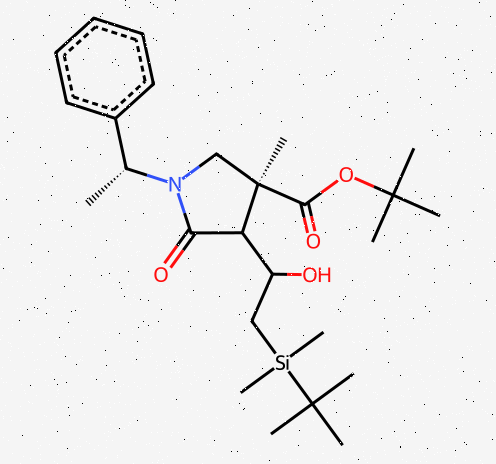 C[C@H](c1ccccc1)N1C[C@@](C)(C(=O)OC(C)(C)C)C(C(O)C[Si](C)(C)C(C)(C)C)C1=O